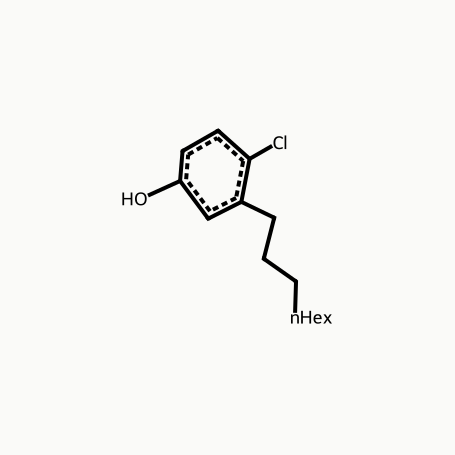 CCCCCCCCCc1cc(O)ccc1Cl